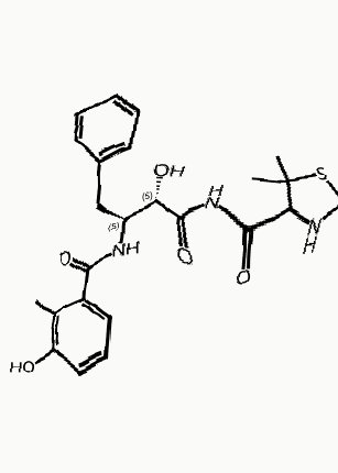 Cc1c(O)cccc1C(=O)N[C@@H](Cc1ccccc1)[C@H](O)C(=O)NC(=O)C1NCSC1(C)C